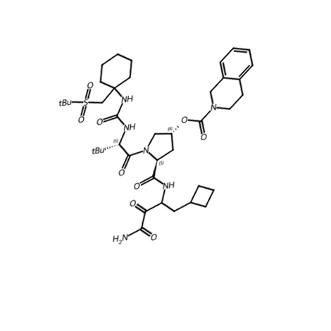 CC(C)(C)[C@H](NC(=O)NC1(CS(=O)(=O)C(C)(C)C)CCCCC1)C(=O)N1C[C@H](OC(=O)N2CCc3ccccc3C2)C[C@H]1C(=O)NC(CC1CCC1)C(=O)C(N)=O